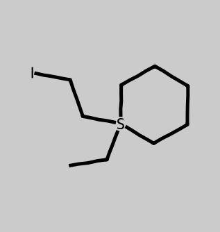 CCS1(CCI)CCCCC1